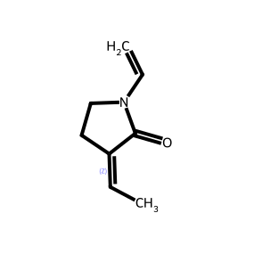 C=CN1CC/C(=C/C)C1=O